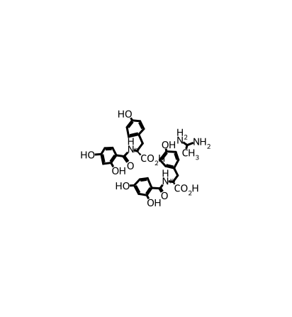 CC(N)N.O=C(N[C@@H](Cc1ccc(O)cc1)C(=O)O)c1ccc(O)cc1O.O=C(N[C@@H](Cc1ccc(O)cc1)C(=O)O)c1ccc(O)cc1O